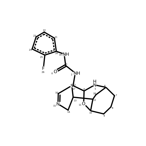 O=C(NCC1NC2CCCC(O1)C(C1CN=CS1)C2)Nc1ccccc1F